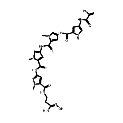 C=C(Br)C(=O)Nc1cc(C(=O)Nc2cc(C(=O)Nc3cc(C(=O)Nc4cc(C(=O)NCCC(N)=NO)n(C)n4)n(C)c3)n(C)c2)n(C)c1